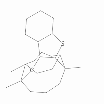 CC12CCCC(C)(CC3C4CCCCC4SC31)C1(C)CCCC2CC1